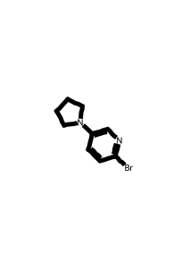 Brc1ccc(N2CCCC2)cn1